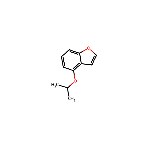 CC(C)Oc1cccc2occc12